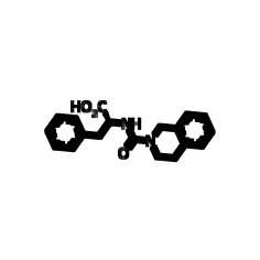 O=C(O)[C@H](Cc1ccccc1)NC(=O)N1CCc2ccccc2C1